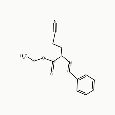 CCOC(=O)N(CCC#N)/N=C/c1ccccc1